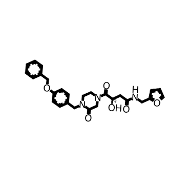 O=C(C[C@@H](O)C(=O)N1CCN(Cc2ccc(OCc3ccccc3)cc2)C(=O)C1)NCc1ccco1